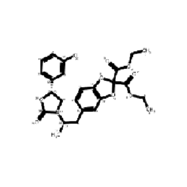 CCOC(=O)C1(C(=O)OCC)Oc2ccc(C[C@@H](C)N3C[C@@H](c4cccc(Cl)c4)OC3=O)cc2O1